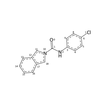 O=C(Nc1ccc(Cl)cc1)n1cc2ccccc2c1